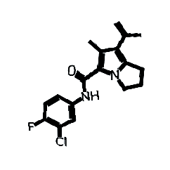 C=C(C)c1c(C)c(C(=O)Nc2ccc(F)c(Cl)c2)n2c1CCC2